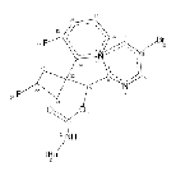 CC(C)(C)NC(=O)OC(c1ncc(Br)cn1)C1(c2ncccc2F)CC(F)C1